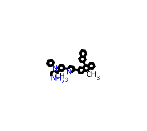 Cc1c2ccccc2c(-c2ccc3ccccc3c2)c2cc(-c3ccc(-c4ccc5c(c4)c(C)c(/C=C\N)n5-c4ccccc4)nc3)ccc12